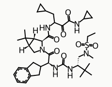 CCS(=O)(=O)N(C)C[C@@H](NC(=O)N[C@H](C(=O)N1C[C@H]2[C@@H]([C@H]1C(=O)NC(CC1CC1)C(=O)C(=O)NC1CC1)C2(C)C)C1Cc2ccccc2C1)C(C)(C)C